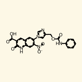 O=C(Nc1ccccc1)OCc1cn(-c2cc3cc(C(=O)O)c(=O)[nH]c3cc2[N+](=O)[O-])cn1